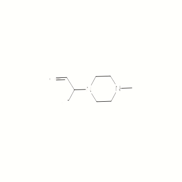 CN1CCN(C(Cl)C=O)CC1